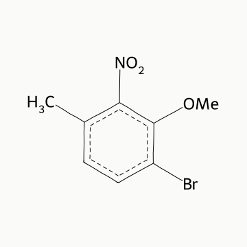 COc1c(Br)ccc(C)c1[N+](=O)[O-]